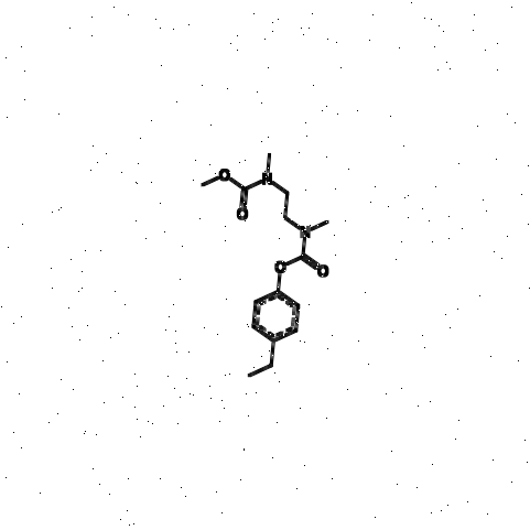 CCc1ccc(OC(=O)N(C)CCN(C)C(=O)OC)cc1